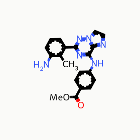 COC(=O)c1ccc(Nc2nc(-c3cccc(N)c3C)nn3ccnc23)cc1